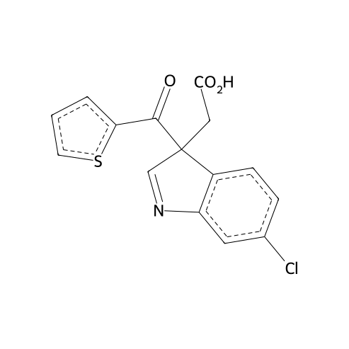 O=C(O)CC1(C(=O)c2cccs2)C=Nc2cc(Cl)ccc21